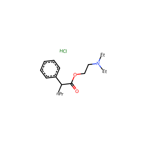 CCCC(C(=O)OCCN(CC)CC)c1ccccc1.Cl